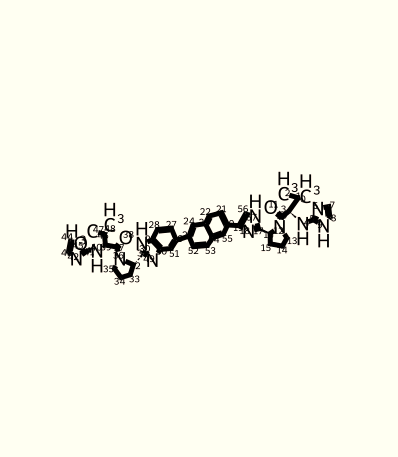 CC(C)[C@H](Nc1ncc[nH]1)C(=O)N1CCC[C@H]1c1nc(-c2ccc3cc(-c4ccc5[nH]c([C@@H]6CCCN6C(=O)[C@@H](Nc6ncco6)C(C)C)nc5c4)ccc3c2)c[nH]1